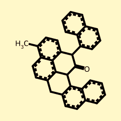 Cc1ccc2c3c4c(ccc13)Cc1ccc3ccccc3c1C4C(=O)C2c1cccc2ccccc12